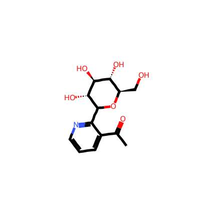 CC(=O)c1cccnc1C1O[C@H](CO)[C@@H](O)[C@H](O)[C@H]1O